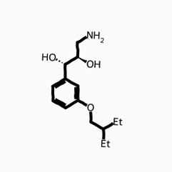 CCC(CC)COc1cccc([C@H](O)[C@H](O)CN)c1